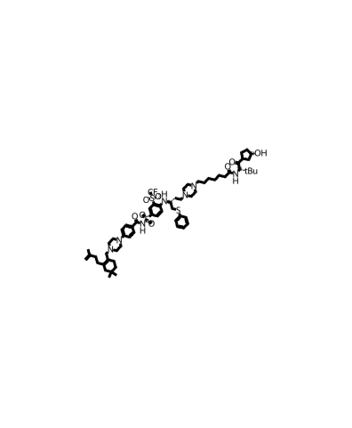 C=C(C)CCC1=C(CN2CCN(c3ccc(C(=O)NS(=O)(=O)c4ccc(N[C@H](CCN5CCN(CCCCCCC(=O)N[C@H](C(=O)C6CC[C@@H](O)C6)C(C)(C)C)CC5)CSc5ccccc5)c(S(=O)(=O)C(F)(F)F)c4)cc3)CC2)CCC(C)(C)C1